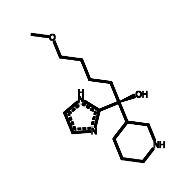 COCCCC[C@@](O)(c1ncc[nH]1)C1CCCNC1